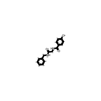 O=C(CNC(=O)c1ccc(Cl)cc1)NCc1ccccc1